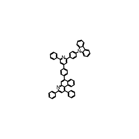 c1ccc(-c2cc(-c3ccc(-c4cc5nc(-c6ccccc6)cc(-c6ccccc6)c5c5ccccc45)cc3)cc(-c3ccc(-n4c5ccccc5c5ccccc54)cc3)n2)cc1